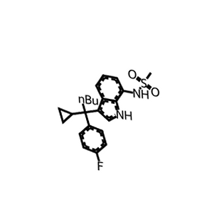 CCCCC(c1ccc(F)cc1)(c1c[nH]c2c(NS(C)(=O)=O)cccc12)C1CC1